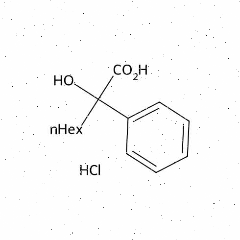 CCCCCCC(O)(C(=O)O)c1ccccc1.Cl